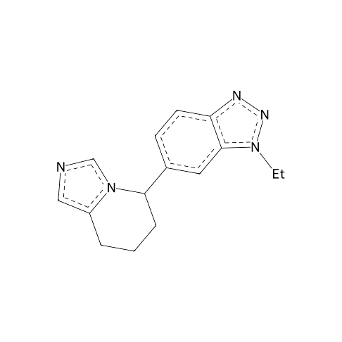 CCn1nnc2ccc(C3CCCc4cncn43)cc21